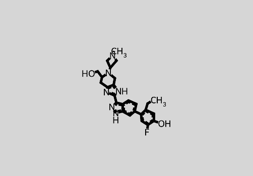 CCc1cc(O)c(F)cc1-c1ccc2c(-c3nc4c([nH]3)CN(C3CN(C)C3)C(CO)C4)n[nH]c2c1